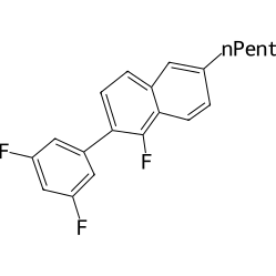 CCCCCc1ccc2c(F)c(-c3cc(F)cc(F)c3)ccc2c1